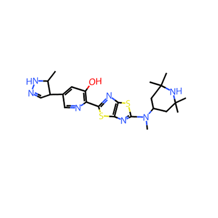 CC1NN=CC1c1cnc(-c2nc3sc(N(C)C4CC(C)(C)NC(C)(C)C4)nc3s2)c(O)c1